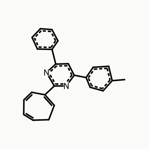 Cc1ccc(-c2cc(-c3ccccc3)nc(C3=CCC=CC=C3)n2)cc1